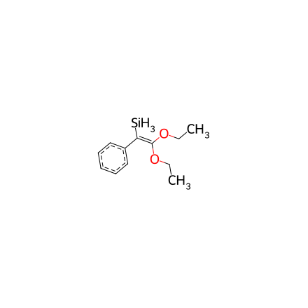 CCOC(OCC)=C([SiH3])c1ccccc1